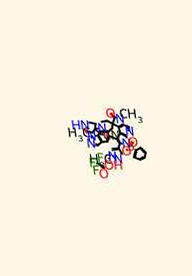 CN1C(=O)C2(CCN(C3(CC#N)CCNCC3)CC2)c2c1cnc1c2c(-c2ccc3c(cnn3C)c2)c(-c2cnn(C)c2)n1S(=O)(=O)c1ccccc1.O=C(O)C(F)(F)F